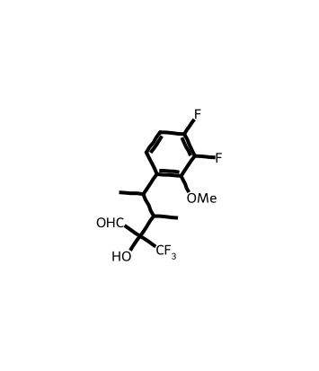 COc1c(C(C)C(C)C(O)(C=O)C(F)(F)F)ccc(F)c1F